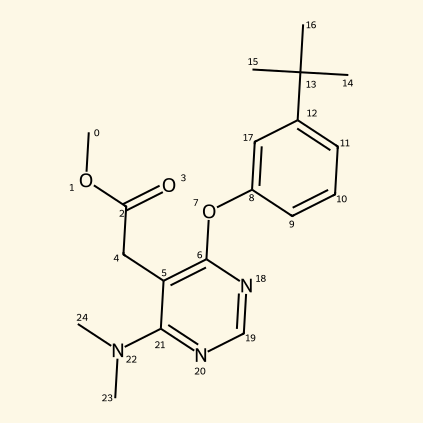 COC(=O)Cc1c(Oc2cccc(C(C)(C)C)c2)ncnc1N(C)C